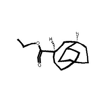 CCOC(=O)[C@@H]1CCC23CC[C@H](C1)C(C2)C3